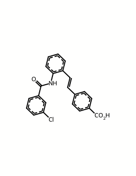 O=C(O)c1ccc(C=Cc2ccccc2NC(=O)c2cccc(Cl)c2)cc1